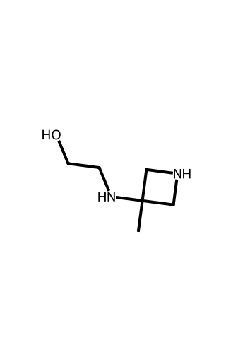 CC1(NCCO)CNC1